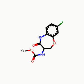 CC(C)(C)OC(=O)NC1COc2cc(F)ccc2NC1=O